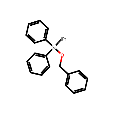 CC(C)[Si](OCc1ccccc1)(c1ccccc1)c1ccccc1